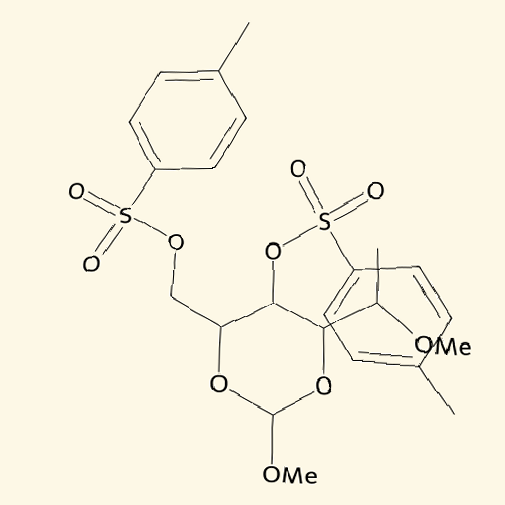 COC1OC(COS(=O)(=O)c2ccc(C)cc2)C(OS(=O)(=O)c2ccc(C)cc2)C(C(C)OC)O1